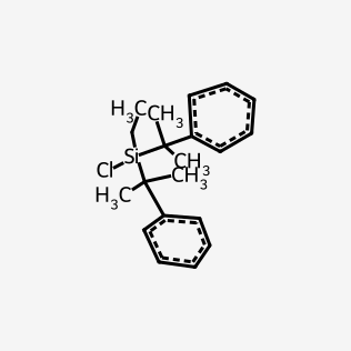 CC[Si](Cl)(C(C)(C)c1ccccc1)C(C)(C)c1ccccc1